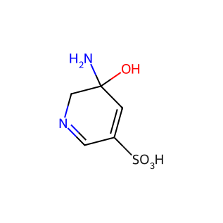 NC1(O)C=C(S(=O)(=O)O)C=NC1